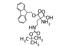 CC(C)(C)OC(=O)NCCC(N)(C(=O)O)C(=O)OCC1c2ccccc2-c2ccccc21